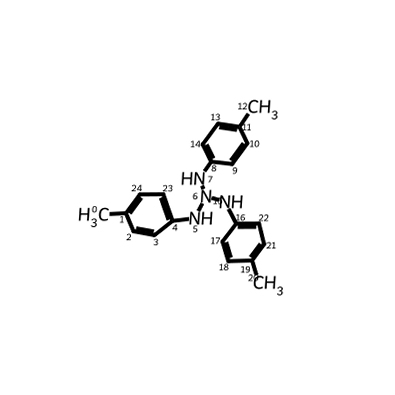 Cc1ccc(NN(Nc2ccc(C)cc2)Nc2ccc(C)cc2)cc1